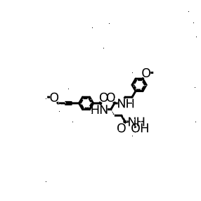 COCC#Cc1ccc(C(=O)N[C@@H](CCC(=O)NO)C(=O)NCCc2ccc(OC)cc2)cc1